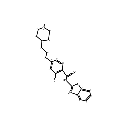 O=C(Nc1nc2ccccc2s1)c1ccc(CCCC2CCNCC2)cc1C(F)(F)F